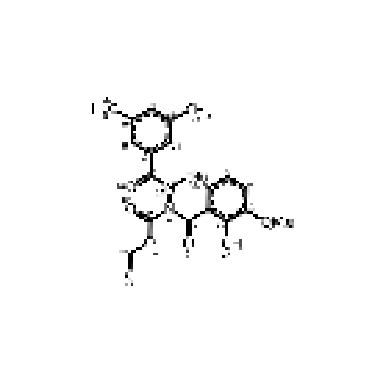 COc1cccc(C(=O)N(C(=O)OCCl)N(C(=O)c2cc(C)cc(C)c2)C(C)(C)C)c1C